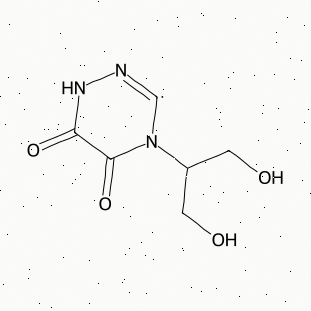 O=c1[nH]n[c]n(C(CO)CO)c1=O